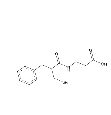 O=C(O)CCNC(=O)C(CS)Cc1ccccc1